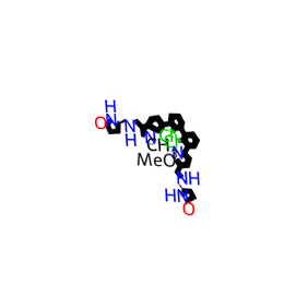 COc1nc(-c2cccc(-c3cccc(-c4ccc5c(CNC[C@H]6CCC(=O)N6)cn(C)c5c4)c3Cl)c2Cl)ccc1CNC[C@@H]1CCC(=O)N1